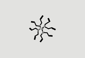 C=CC[N](CC=C)[Ge]([N](CC=C)CC=C)([N](CC=C)CC=C)[N](CC=C)CC=C